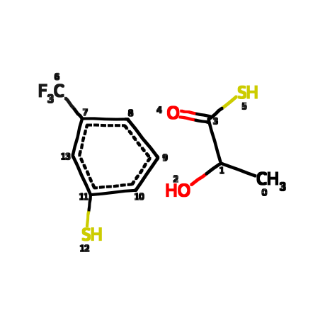 CC(O)C(=O)S.FC(F)(F)c1cccc(S)c1